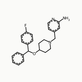 Nc1cc(CN2CCC(OC(c3ccccc3)c3ccc(F)cc3)CC2)ccn1